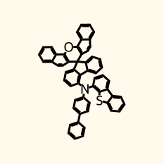 c1ccc(-c2ccc(N(c3cccc4c3-c3ccccc3C43c4ccc5ccccc5c4Oc4c3ccc3ccccc43)c3cccc4c3sc3ccccc34)cc2)cc1